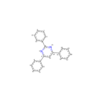 [c]1ccc(-c2nc(-c3ccccc3)cc(-c3ccccc3)n2)cc1